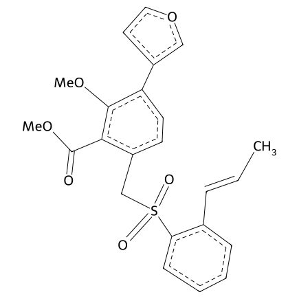 CC=Cc1ccccc1S(=O)(=O)Cc1ccc(-c2ccoc2)c(OC)c1C(=O)OC